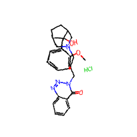 COc1ccccc1C1(O)C2CCC1CN(CCCn1nnc3ccccc3c1=O)C2.Cl